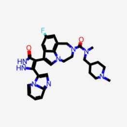 CN1CCC(CN(C)C(=O)N2CCn3cc(-c4c(-c5cnc6ccccn56)[nH][nH]c4=O)c4cc(F)cc(c43)C2)CC1